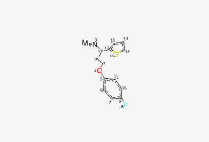 CNC(CCOc1ccc(F)cc1)c1cccs1